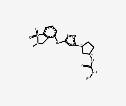 CC(C)NC(=O)O[C@@H]1CC[C@H](c2cc(Nc3cccc4c3CN(C)S4(=O)=O)n[nH]2)C1